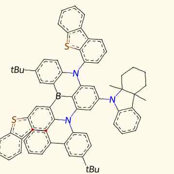 CC(C)(C)c1ccc2c(c1)B1c3cc4sc5ccccc5c4cc3N(c3ccc(C(C)(C)C)cc3-c3ccccc3)c3cc(N4c5ccccc5C5(C)CCCCC45C)cc(c31)N2c1cccc2c1sc1ccccc12